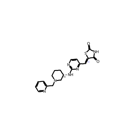 O=C1NC(=O)/C(=C/c2ccnc(N[C@H]3CCCN(Cc4ccccn4)C3)n2)S1